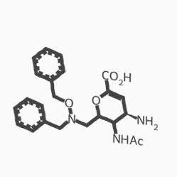 CC(=O)NC1C(CN(Cc2ccccc2)OCc2ccccc2)OC(C(=O)O)=C[C@H]1N